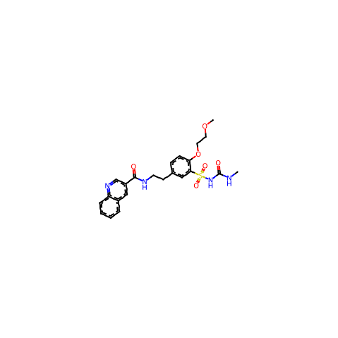 CNC(=O)NS(=O)(=O)c1cc(CCNC(=O)c2cnc3ccccc3c2)ccc1OCCOC